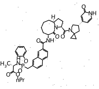 CCCOC(=O)[C@H](C)NP(=O)(Cc1ccc2ccc(C(=O)N[C@H]3CCCC[C@H]4CC[C@@H](C(=O)N5C[C@H](c6cc[nH]c(=O)c6)CC56CC6)N4C3=O)cc2c1)Oc1ccccc1